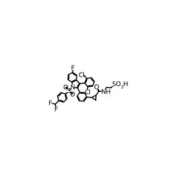 O=C(NCCS(=O)(=O)O)C1CC1c1cccc(-c2c(-c3c(Cl)cccc3Cl)c3cc(F)ccc3n2S(=O)(=O)c2ccc(C(F)F)cc2)c1